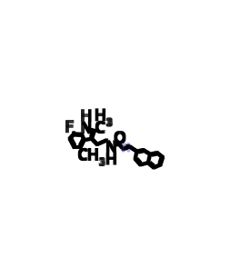 Cc1[nH]c2c(F)ccc(C)c2c1CCNC(=O)/C=C/c1ccc2ccccc2c1